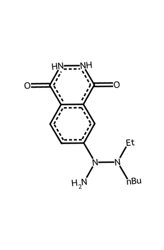 CCCCN(CC)N(N)c1ccc2c(=O)[nH][nH]c(=O)c2c1